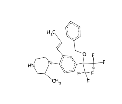 CC=Cc1cc(C(OCc2ccccc2)(C(F)(F)F)C(F)(F)F)ccc1N1CCNCC1C